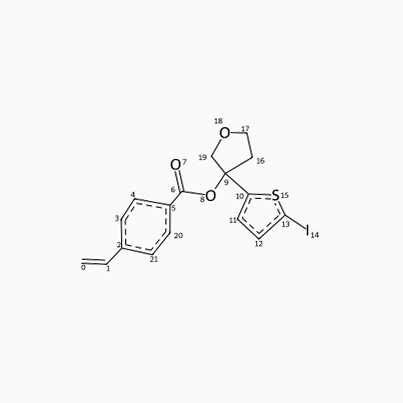 C=Cc1ccc(C(=O)OC2(c3ccc(I)s3)CCOC2)cc1